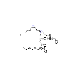 CCCCC/C=C\C/C=C\C[C@@H](C[C@@H]1OC(=O)[C@H]1CCCCCC)OC(=O)[C@H](C)NC=O